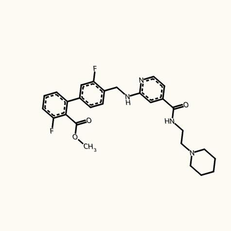 COC(=O)c1c(F)cccc1-c1ccc(CNc2cc(C(=O)NCCN3CCCCC3)ccn2)c(F)c1